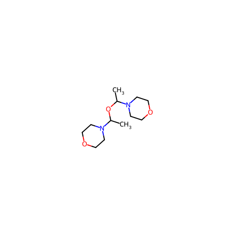 CC(OC(C)N1CCOCC1)N1CCOCC1